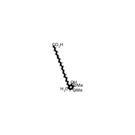 COc1cc(C)c(CCCCCCCCCCCCCCCCCCCCCC(=O)O)c(O)c1OC